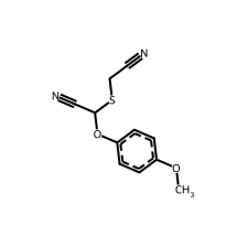 COc1ccc(OC(C#N)SCC#N)cc1